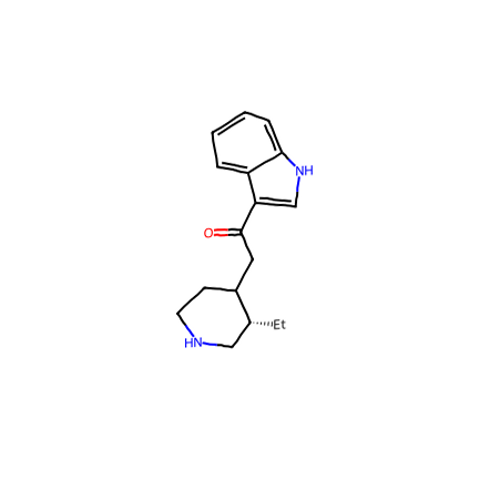 CC[C@@H]1CNCCC1CC(=O)c1c[nH]c2ccccc12